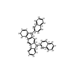 C1=Cc2c(c3cc4c5ccccc5n(-c5ccc6ccccc6n5)c4cc3n2-c2ccc3ccccc3n2)CC1